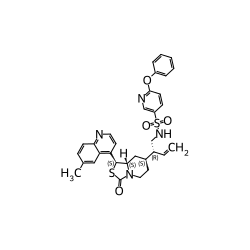 C=C[C@@H](CNS(=O)(=O)c1ccc(Oc2ccccc2)nc1)[C@H]1CCN2C(=O)S[C@@H](c3ccnc4ccc(C)cc34)[C@@H]2C1